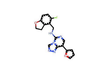 Fc1ccc2c(c1CNc1ncc(-c3ccco3)c3nncn13)CCO2